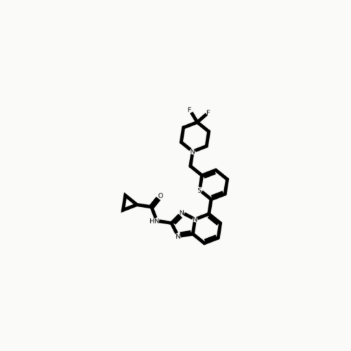 O=C(Nc1nc2cccc(C3=CCC=C(CN4CCC(F)(F)CC4)S3)n2n1)C1CC1